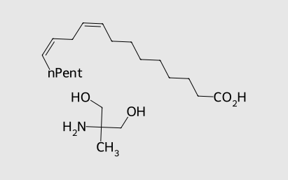 CC(N)(CO)CO.CCCCC/C=C\C/C=C\CCCCCCCC(=O)O